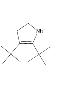 CC(C)(C)C1=C(C(C)(C)C)NCC1